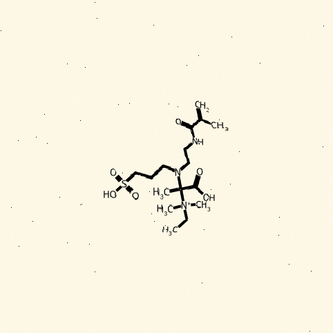 C=C(C)C(=O)NCCN(CCCS(=O)(=O)O)C(C)(C(=O)O)[N+](C)(C)CC